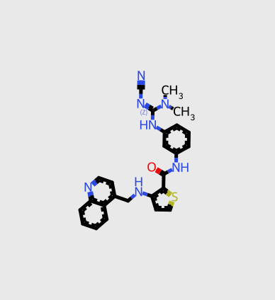 CN(C)/C(=N\C#N)Nc1cccc(NC(=O)c2sccc2NCc2ccnc3ccccc23)c1